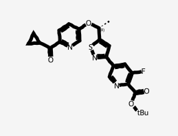 C[C@@H](Oc1ccc(C(=O)C2CC2)nc1)c1cc(-c2cnc(C(=O)OC(C)(C)C)c(F)c2)ns1